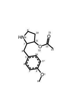 COc1ccc(CC2NCCC2OC(C)=O)cc1